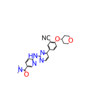 CN(C)C(=O)c1ccc(Nc2nccc(-c3ccc(OC4CCOCC4)c(C#N)c3)n2)nc1